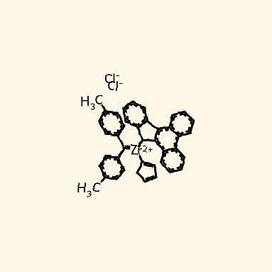 Cc1ccc([C](c2ccc(C)cc2)=[Zr+2]([C]2=CC=CC2)[CH]2c3ccccc3-c3c2c2ccccc2c2ccccc32)cc1.[Cl-].[Cl-]